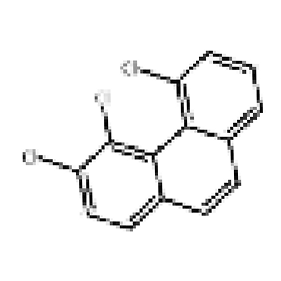 Clc1[c]cc2ccc3c[c]cc(Cl)c3c2c1Cl